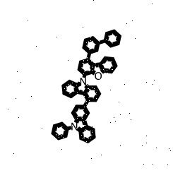 c1ccc(-c2cccc(-c3ccc(-n4c5ccccc5c5c(-c6ccc7c(c6)c6ccccc6n7-c6ccccc6)cccc54)c4oc5ccccc5c34)c2)cc1